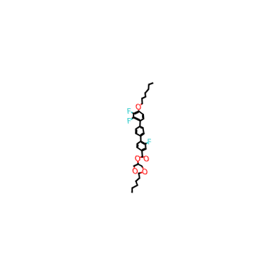 CCCCCCCOc1ccc(-c2ccc(-c3ccc(C(=O)OC4COC(CCCCC)OC4)cc3F)cc2)c(F)c1F